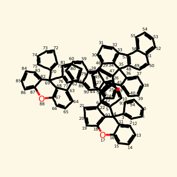 c1ccc(C2(c3ccccc3)c3ccccc3Oc3cccc(-c4cccc5c(-c6cccc7c6C6(c8ccccc8-c8ccccc86)c6ccc8ccccc8c6-7)c6cccc(-c7cccc8c7C(c7ccccc7)(c7ccccc7)c7ccccc7O8)c6cc45)c32)cc1